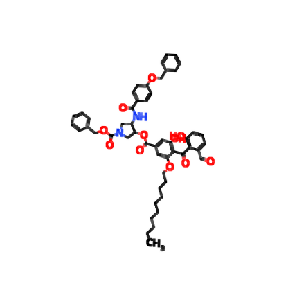 CCCCCCCCCCOc1cc(C(=O)OC2CN(C(=O)OCc3ccccc3)CC2NC(=O)c2ccc(OCc3ccccc3)cc2)cc(O)c1C(=O)c1c(O)cccc1C=O